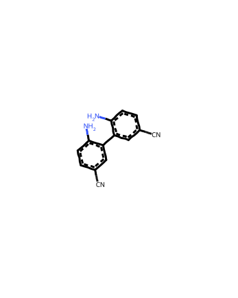 N#Cc1ccc(N)c(-c2cc(C#N)ccc2N)c1